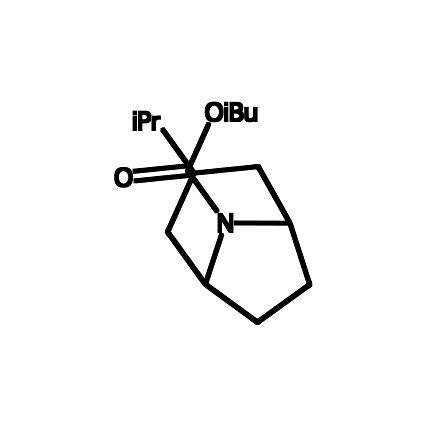 CC(C)COC(=O)N1C2CCC1CC(C(C)C)C2